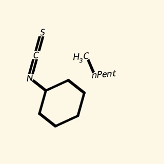 CCCCCC.S=C=NC1CCCCC1